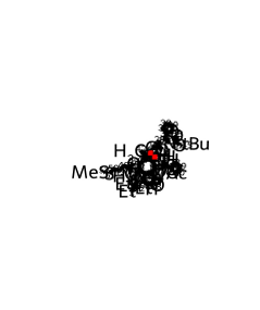 CC[Si](CC)(CC)O[C@H]1C[C@H]2OC[C@@]2(OC(C)=O)[C@H]2[C@H](OC(=O)c3ccco3)[C@]3(O)C[C@H](OC(=O)C[C@@H](NC(=O)OC(C)(C)C)c4ccco4)C(C)=C([C@@H](OC(=O)CCCSSC)C(=O)[C@]12C)C3(C)C